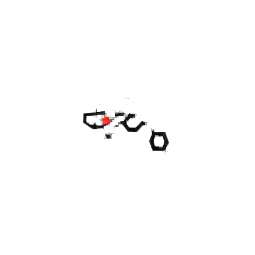 CCOC(=O)N1[C@@H]2CC[C@H]1[C@H](C(=O)O)N(S(=O)(=O)c1ccc(Oc3ccc(F)cc3)nc1)C2